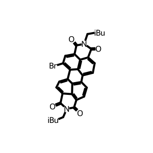 CCC(C)CN1C(=O)c2ccc3c4ccc5c6c(cc(Br)c(c7ccc(c2c37)C1=O)c64)C(=O)N(CC(C)CC)C5=O